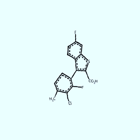 Cc1ccc(-c2c(C(=O)O)sc3cc(F)ccc23)c(F)c1Cl